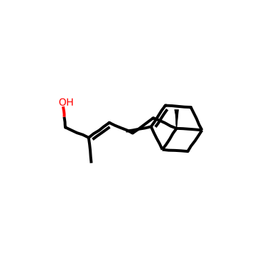 CC1=CCC2CC1[C@]2(C)CC/C=C(\C)CO